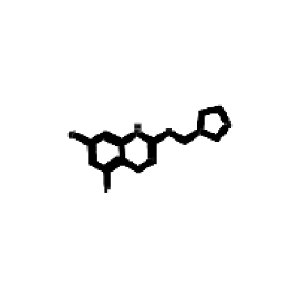 Fc1cc(Cl)cc2c1CN=C(SCN1CCSC1)N2